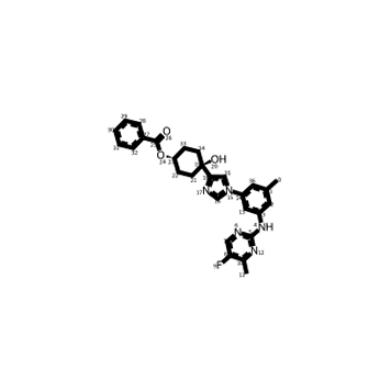 Cc1cc(Nc2ncc(F)c(C)n2)cc(-n2cnc([C@]3(O)CC[C@H](OC(=O)c4ccccc4)CC3)c2)c1